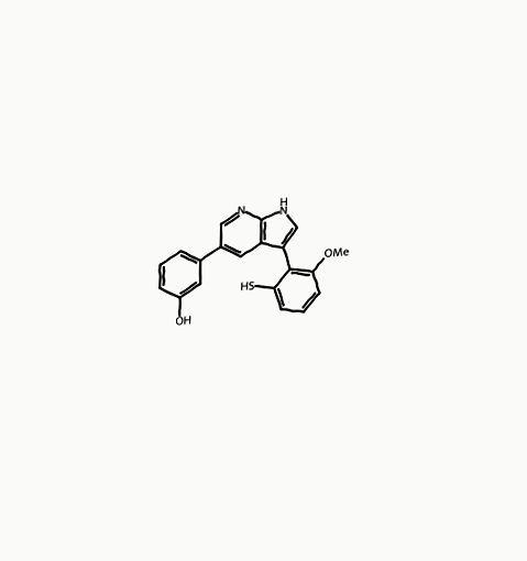 COc1cccc(S)c1-c1c[nH]c2ncc(-c3cccc(O)c3)cc12